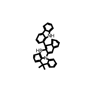 CC1(C)c2ccccc2N2c3cc4ccccc4c(-c4cccc5c4[nH]c4ccccc45)c3Bc3cccc1c32